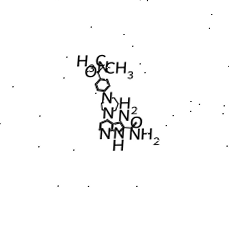 CN(C)C(=O)c1ccc(N2CCCN(c3ccnc4[nH]c(C(N)=O)c(N)c34)CC2)cc1